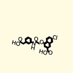 O=C(O)Cc1cccc(NC(=O)COc2cc(C(=O)O)cc3cc(Cl)ccc23)c1